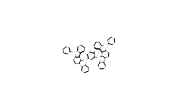 CC(C)(C)c1c(C#N)c(-n2c3ccccc3c3ccc4c(c5ccccc5n4-c4ccccc4)c32)cc(-n2c3ccccc3c3ccc4c(c5ccccc5n4-c4ccccc4)c32)c1C#N